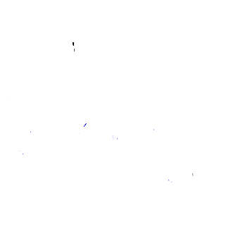 C[C@H]1CC[C@H]([C@H](NC(=O)c2ccnn2C2CCC2)C(=O)Nc2cc3c(cn2)C2(CCOCC2)C(=O)N3)CC1